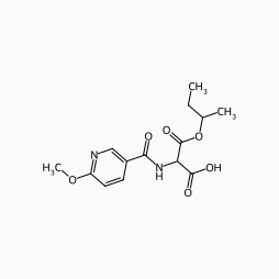 CCC(C)OC(=O)C(NC(=O)c1ccc(OC)nc1)C(=O)O